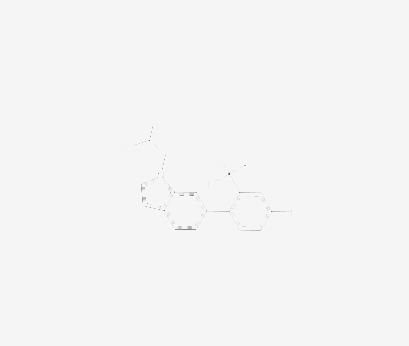 CC(C)Cn1ccc2ccc(-c3ccc(F)cc3C(F)(F)F)cc21